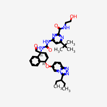 CCC(CC)c1nnc2ccc(O[C@@H]3C=C[C@](C=O)(NC(=O)Nc4cc(C(C)(C)C)nc(C(=O)NCCO)n4)c4ccccc43)cn12